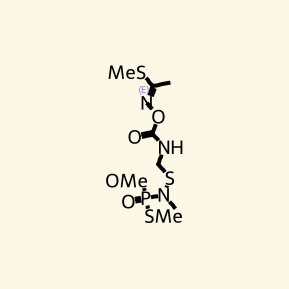 COP(=O)(SC)N(C)SCNC(=O)O/N=C(\C)SC